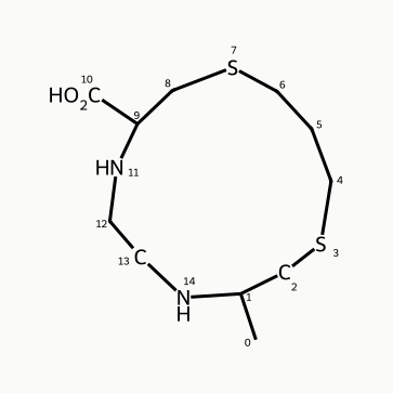 CC1CSCCCSCC(C(=O)O)NCCN1